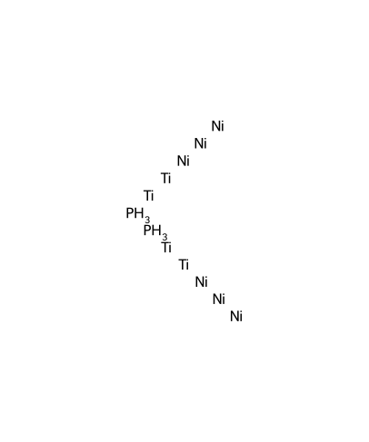 P.P.[Ni].[Ni].[Ni].[Ni].[Ni].[Ni].[Ti].[Ti].[Ti].[Ti]